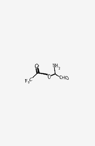 NC(C=O)OC(=O)C(F)(F)F